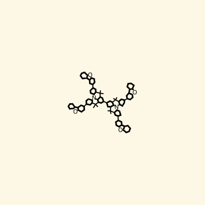 CC1(C)c2cc(-c3ccc4oc5ccccc5c4c3)ccc2N2c3ccc(-c4ccc5oc6ccccc6c5c4)cc3C(C)(C)c3cc(-c4cc5c6c(c4)C(C)(C)c4cc(-c7ccc8oc9ccccc9c8c7)ccc4N6c4ccc(-c6ccc7oc8ccccc8c7c6)cc4C5(C)C)cc1c32